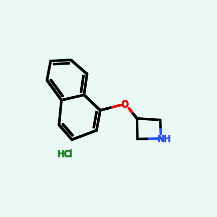 Cl.c1ccc2c(OC3CNC3)cccc2c1